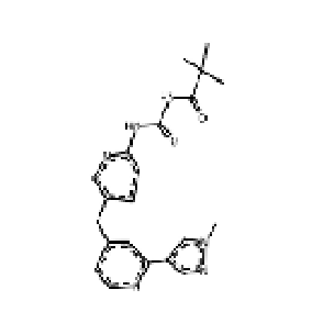 Cn1cc(-c2cc(Cc3ccc(NC(=O)NC(=O)C(C)(C)C)nc3)ccn2)cn1